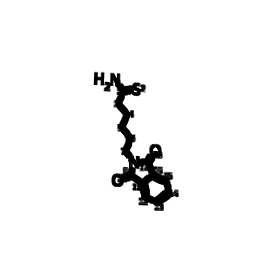 NC(=S)CCCCCN1C(=O)c2ccccc2C1=O